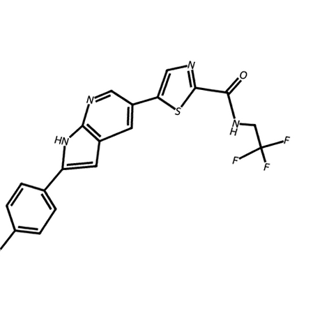 O=C(NCC(F)(F)F)c1ncc(-c2cnc3[nH]c(-c4ccc(F)cc4)cc3c2)s1